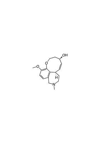 COc1ccc2c3c1OCC[C@@H](O)/C=C\[C@H]3CCN(C)C2